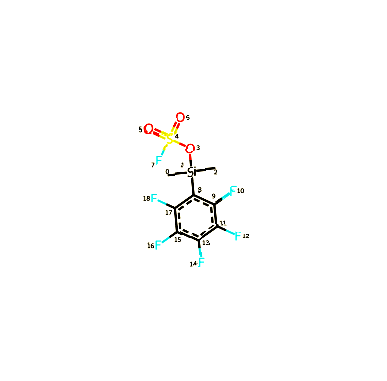 C[Si](C)(OS(=O)(=O)F)c1c(F)c(F)c(F)c(F)c1F